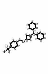 FC(F)(F)c1ccc(COC2CN(C(c3ccccc3)c3ccccc3)C2)cc1